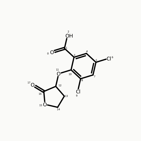 O=C(O)c1cc(Cl)cc(Cl)c1OC1CCOC1=O